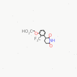 O=C(O)COc1cccc(C2CCC(=O)NC2=O)c1C(F)(F)F